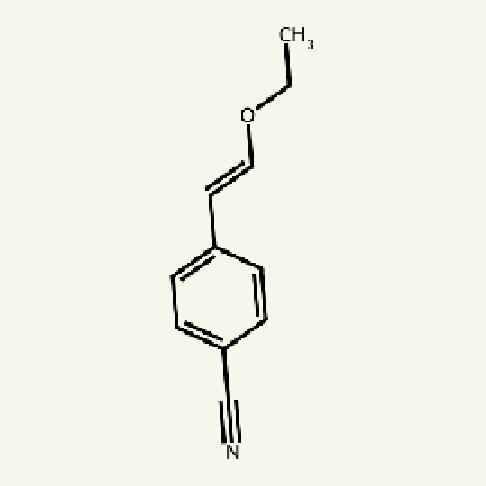 CCOC=Cc1ccc(C#N)cc1